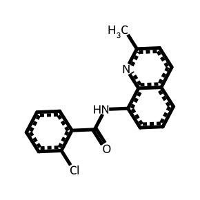 Cc1ccc2cccc(NC(=O)c3ccccc3Cl)c2n1